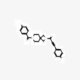 O=C(C#Cc1ccc(Cl)cc1)N1CC2(CCN(C(=O)c3ccc(C(F)(F)F)cc3)CC2)C1